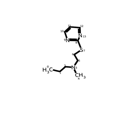 CCCN(C)CCSc1ncccn1